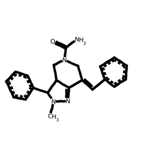 CN1N=C2C(=Cc3ccccc3)CN(C(N)=O)CC2C1c1ccccc1